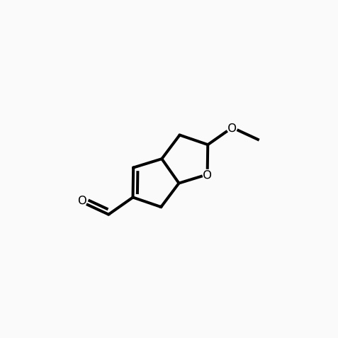 COC1CC2C=C(C=O)CC2O1